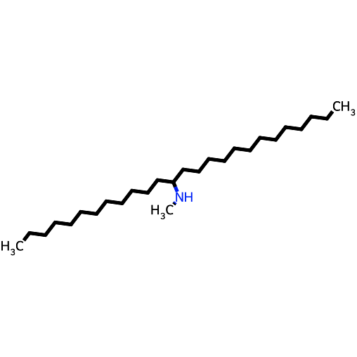 CCCCCCCCCCCCCC(CCCCCCCCCCCC)NC